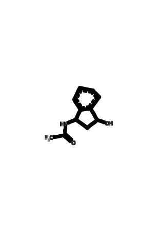 O=C(NC1CC(O)c2ccccc21)C(F)(F)F